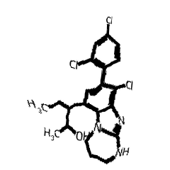 CCC(c1cc(-c2ccc(Cl)cc2Cl)c(Cl)c2nc3n(c12)CCCN3)C(C)O